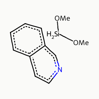 CO[SiH2]OC.c1ccc2cnccc2c1